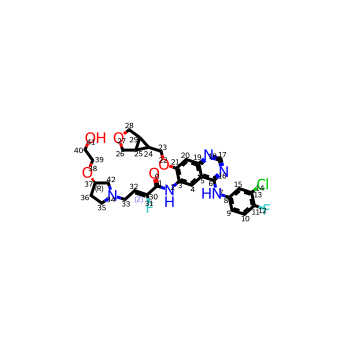 O=C(Nc1cc2c(Nc3ccc(F)c(Cl)c3)ncnc2cc1OCC1C2COCC21)/C(F)=C/CN1CC[C@@H](OCCO)C1